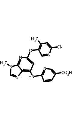 Cc1cc(C#N)ncc1Oc1cc(Nc2ccc(C(=O)O)cn2)c2ncn(C)c2n1